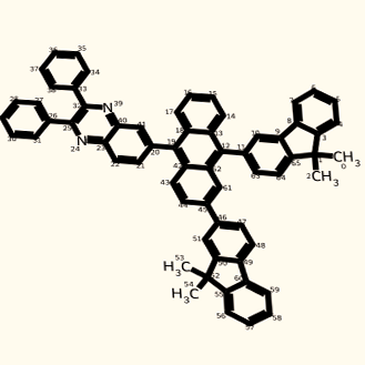 CC1(C)c2ccccc2-c2cc(-c3c4ccccc4c(-c4ccc5nc(-c6ccccc6)c(-c6ccccc6)nc5c4)c4ccc(-c5ccc6c(c5)C(C)(C)c5ccccc5-6)cc34)ccc21